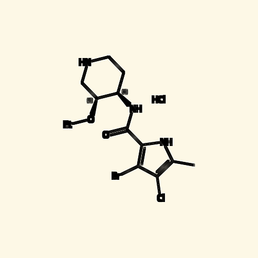 CCO[C@H]1CNCC[C@H]1NC(=O)c1[nH]c(C)c(Cl)c1Br.Cl